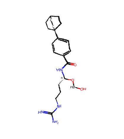 N=C(N)NCCC[C@H](NC(=O)c1ccc(C23CCC(CC2)CC3)cc1)OBO